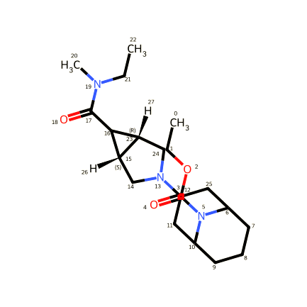 CCOC(=O)N1C2CCCC1CC(N1C[C@@H]3C(C(=O)N(C)CC)[C@@H]3C1)C2